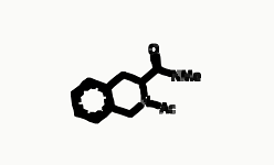 CNC(=O)C1Cc2ccccc2CN1C(C)=O